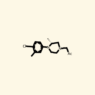 CC(=O)CN1CCN(c2ccc(Cl)c(C)c2)[C@H](C)C1